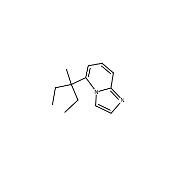 CCC(C)(CC)c1cccc2nccn12